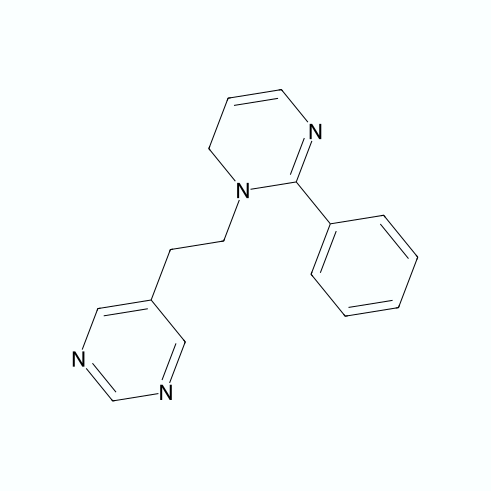 C1=CN=C(c2ccccc2)N(CCc2cncnc2)C1